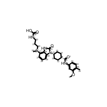 COc1cc(NC(=O)[C@H]2CC[C@@H](n3c(=O)[nH]c4c(N(C)CCCNC(=O)O)cccc43)CC2)ccc1C